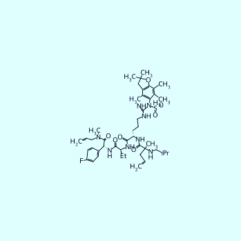 C=CCN(C)C(=O)[C@H](NC(=O)[C@H](CC)NC(=O)[C@H](CCCNC(=N)N(c1c(C)c(C)c2c(c1C)CC(C)(C)O2)[SH](=O)=O)NC(=O)[C@@](C)(CC=C)NCC(C)C)c1ccc(F)cc1